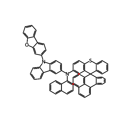 c1ccc2c(c1)Sc1ccc(N(c3ccc4c(c3)c3ccccc3n4-c3ccc4c(c3)oc3ccccc34)c3cccc4ccccc34)cc1C21c2ccccc2-c2cccc3cccc1c23